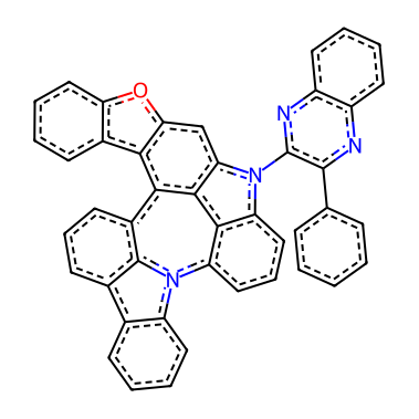 c1ccc(-c2nc3ccccc3nc2-n2c3cc4oc5ccccc5c4c4c5cccc6c7ccccc7n(c7cccc2c7c43)c65)cc1